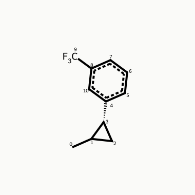 CC1C[C@H]1c1cccc(C(F)(F)F)c1